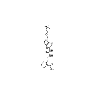 COC(=O)N1CCCCC1CCNC(=O)Nc1cnc2c(ccn2COCC[Si](C)(C)C)n1